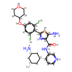 C[C@@H]1C[C@H](N)C[C@H](c2ccncc2NC(=O)c2nc(-c3c(F)cc(OC4CCOCC4)cc3F)sc2N)C1